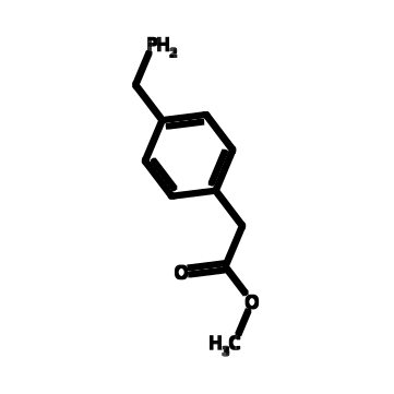 COC(=O)Cc1ccc(CP)cc1